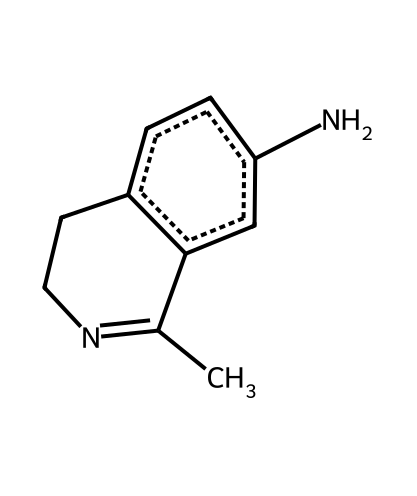 CC1=NCCc2ccc(N)cc21